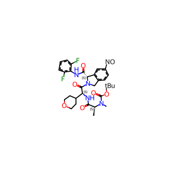 C[C@@H](C(=O)N[C@H](C(=O)N1Cc2ccc(N=O)cc2[C@H]1C(=O)Nc1c(F)cccc1F)C1CCOCC1)N(C)C(=O)OC(C)(C)C